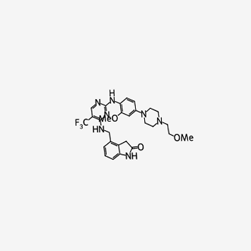 COCCN1CCN(c2ccc(Nc3ncc(C(F)(F)F)c(NCc4cccc5c4CC(=O)N5)n3)c(OC)c2)CC1